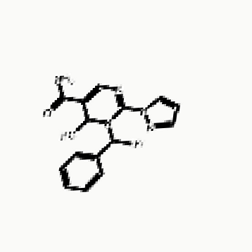 CC(C)C(c1ccccc1)N1C(n2cccn2)=NC=C(C(N)=O)C1O